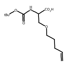 C=CCCCOCC(NC(=O)OC(C)(C)C)C(=O)O